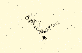 COc1c(NC(=O)c2ccc(NC(=O)c3ccc(NC(=O)[C@H](Cc4cnn[nH]4)NC(=O)c4ccc(NC(=O)c5ccc(N6CCNCC6)cc5)cc4)cc3)c(OC)c2O)ccc(C(=O)O)c1O